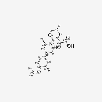 CC(C)C[C@H](C(=O)N1CCN(c2ccc(OC(C)C)c(F)c2)C[C@H]1C)[C@H](O)C(=O)O